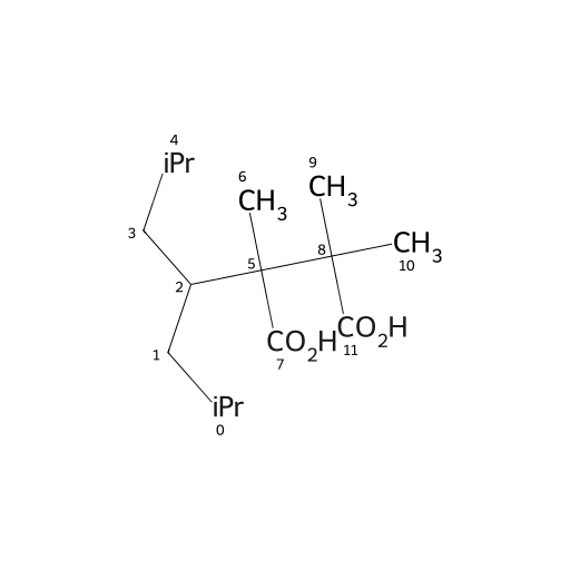 CC(C)CC(CC(C)C)C(C)(C(=O)O)C(C)(C)C(=O)O